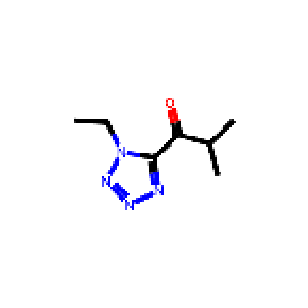 CCn1nnnc1C(=O)C(C)C